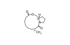 C[C@@H]1CCCCCC(=O)OC[C@@H]2CCCN2C1=O